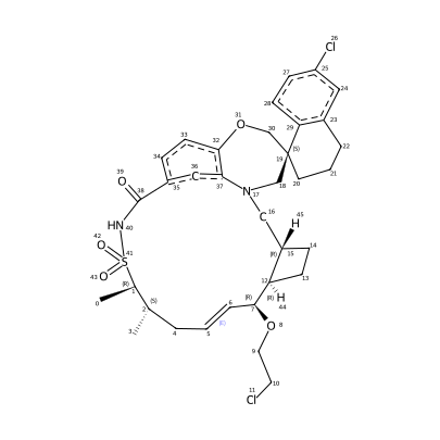 C[C@@H]1[C@@H](C)C/C=C/[C@H](OCCCl)[C@@H]2CC[C@H]2CN2C[C@@]3(CCCc4cc(Cl)ccc43)COc3ccc(cc32)C(=O)NS1(=O)=O